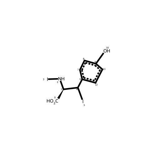 O=C(O)[C@@H](NI)C(I)c1ccc(O)cc1